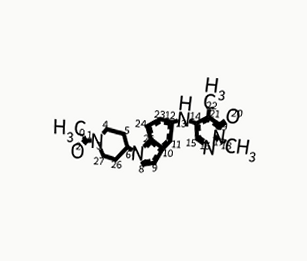 CC(=O)N1CCC(n2ccc3cc(Nc4cnn(C)c(=O)c4C)ccc32)CC1